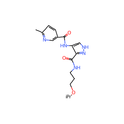 Cc1ccc(C(=O)Nc2c[nH]nc2C(=O)NCCCOC(C)C)cn1